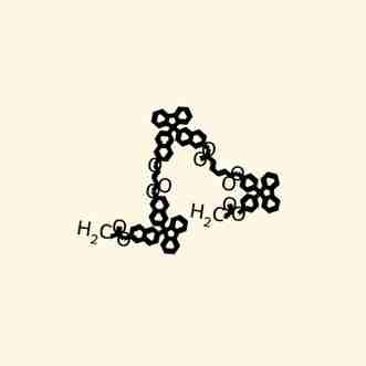 C=CC(=O)Oc1ccc(C2(c3ccc(OC(=O)/C=C/C=CC(=O)Oc4ccc5cc(C6(c7ccc8cc(O/C=C/C(=O)Oc9ccc%10cc(C%11(c%12ccc%13cc(OC(=O)C=C)ccc%13c%12)c%12ccccc%12-c%12ccccc%12%11)ccc%10c9)ccc8c7)c7ccccc7-c7ccccc76)ccc5c4)cc3)c3ccccc3-c3ccccc32)cc1